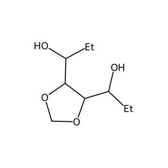 CCC(O)C1OCOC1C(O)CC